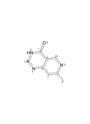 Cc1cc2nn[nH]c(=O)c2cn1